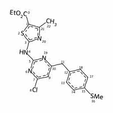 CCOC(=O)c1sc(Nc2nc(Cl)cc(Cc3ccc(SC)cc3)n2)nc1C